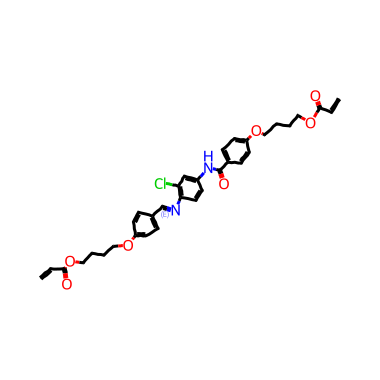 C=CC(=O)OCCCCOc1ccc(/C=N/c2ccc(NC(=O)c3ccc(OCCCCOC(=O)C=C)cc3)cc2Cl)cc1